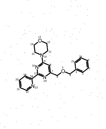 c1ccc(COCc2cc(N3CCOCC3)nc(-c3ccccn3)n2)cc1